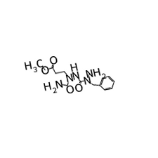 COC(=O)CCN(NC(=O)N(N)Cc1ccccc1)C(N)=O